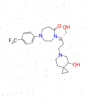 O=C1CCN(c2ccc(C(F)(F)F)cc2)CCN1[C@H](CO)CCN1CCC2(CC2)C(O)C1